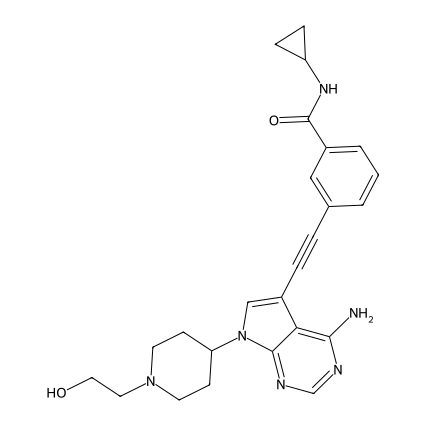 Nc1ncnc2c1c(C#Cc1cccc(C(=O)NC3CC3)c1)cn2C1CCN(CCO)CC1